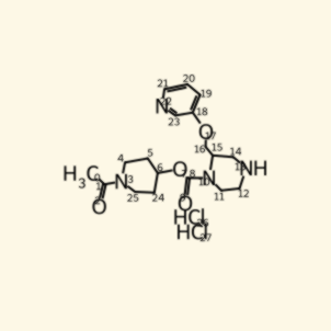 CC(=O)N1CCC(OC(=O)N2CCNCC2COc2cccnc2)CC1.Cl.Cl